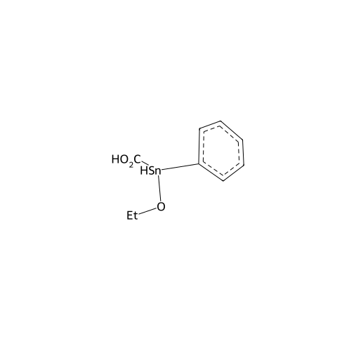 CC[O][SnH]([C](=O)O)[c]1ccccc1